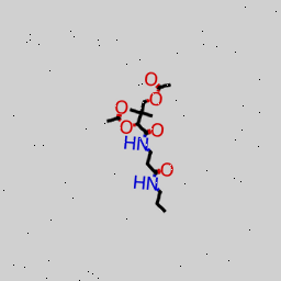 CCCNC(=O)CCNC(=O)C(OC(C)=O)C(C)(C)COC(C)=O